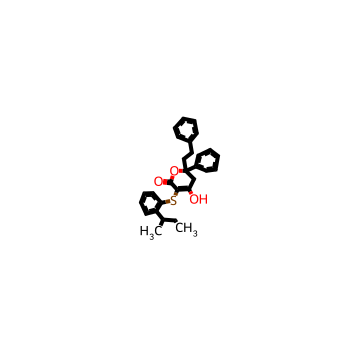 CCC(C)c1ccccc1SC1=C(O)CC(CCc2ccccc2)(c2ccccc2)OC1=O